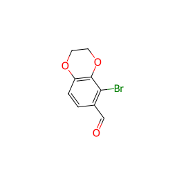 O=Cc1ccc2c(c1Br)OCCO2